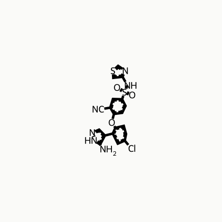 N#Cc1cc(S(=O)(=O)Nc2cscn2)ccc1Oc1ccc(Cl)cc1-c1cn[nH]c1N